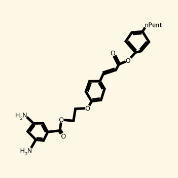 CCCCCc1ccc(OC(=O)C=Cc2ccc(OCCOC(=O)c3cc(N)cc(N)c3)cc2)cc1